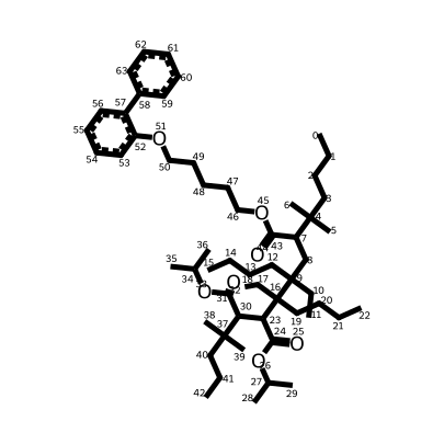 CCCCC(C)(C)C(CC(CC)(CCCC)C(CC)(CCCC)C(C(=O)OC(C)C)C(C(=O)OC(C)C)C(C)(C)CCC)C(=O)OCCCCCOc1ccccc1-c1ccccc1